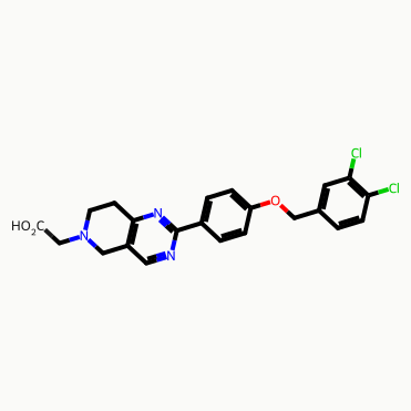 O=C(O)CN1CCc2nc(-c3ccc(OCc4ccc(Cl)c(Cl)c4)cc3)ncc2C1